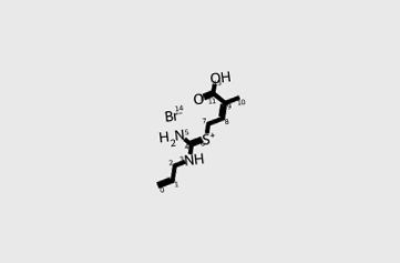 C=CCN/C(N)=[S+]/CC=C(C)C(=O)O.[Br-]